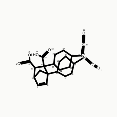 O=C=NC1CCC(C23C=CC(C2)C(C(=O)O)C3(C(=O)O)C2CCC(N=C=O)CC2)CC1